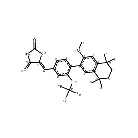 COc1cc2c(cc1-c1ccc(/C=C3\SC(=O)NC3=O)cc1OC(F)(F)F)C(C)(C)CCC2(C)C